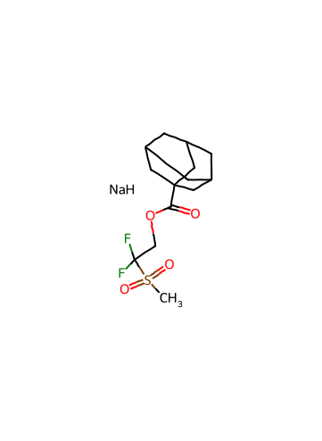 CS(=O)(=O)C(F)(F)COC(=O)C12CC3CC(CC(C3)C1)C2.[NaH]